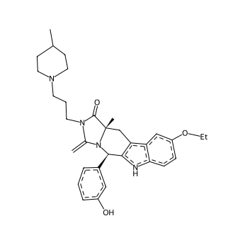 C=C1N(CCCN2CCC(C)CC2)C(=O)[C@]2(C)Cc3c([nH]c4ccc(OCC)cc34)[C@@H](c3cccc(O)c3)N12